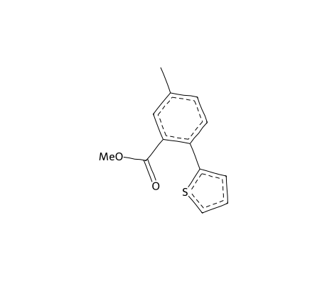 COC(=O)c1cc(C)ccc1-c1cccs1